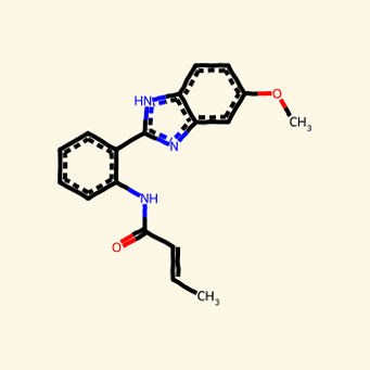 CC=CC(=O)Nc1ccccc1-c1nc2cc(OC)ccc2[nH]1